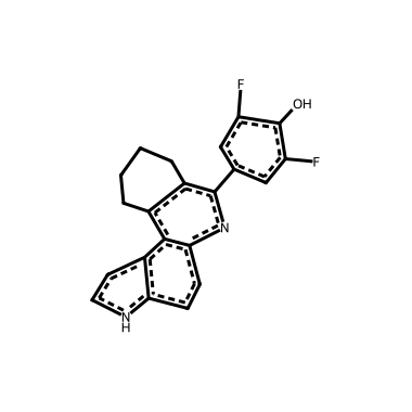 Oc1c(F)cc(-c2nc3ccc4[nH]ccc4c3c3c2CCCC3)cc1F